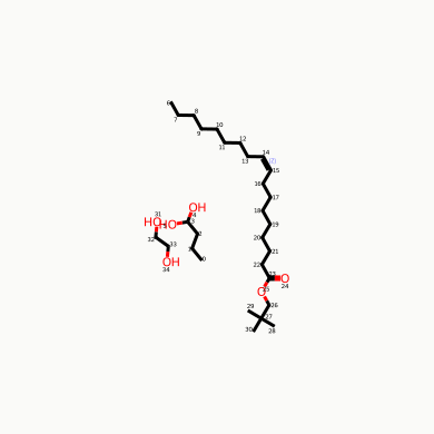 CCCC(O)O.CCCCCCCC/C=C\CCCCCCCC(=O)OCC(C)(C)C.OCCO